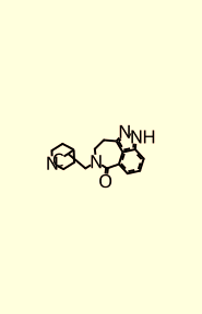 O=C1c2cccc3[nH]nc(c23)CCN1CC1CN2CCC1CC2